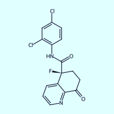 O=C1CC[C@@](F)(C(=O)Nc2ccc(Cl)cc2Cl)c2cccnc21